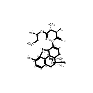 CC(=O)O[C@@H](C(=O)O[C@@H](CC(=O)O)C(C)=O)[C@@H](C)C(=O)OC1=CC[C@@]2(O)[C@H]3Cc4ccc(O)c5c4[C@@]2(CCN3C)[C@H]1O5